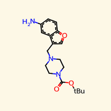 CC(C)(C)OC(=O)N1CCN(Cc2coc3ccc(N)cc23)CC1